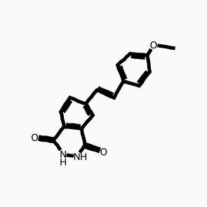 COc1ccc(C=Cc2ccc3c(=O)[nH][nH]c(=O)c3c2)cc1